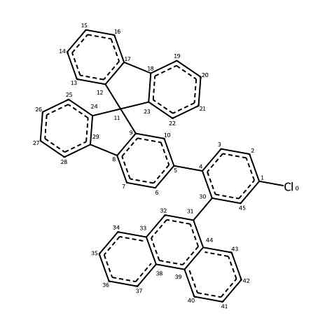 Clc1ccc(-c2ccc3c(c2)C2(c4ccccc4-c4ccccc42)c2ccccc2-3)c(-c2cc3ccccc3c3ccccc23)c1